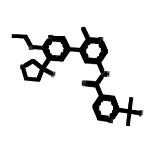 CCOc1ncc(-c2cc(NC(=O)c3ccnc(C(C)(C)F)c3)cnc2C)cc1C1(F)CCOC1